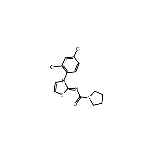 O=C(/N=c1\sccn1-c1ccc(Cl)cc1Cl)N1CCCC1